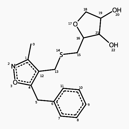 Cc1noc(Cc2ccccc2)c1CSCC1OCC(O)C1O